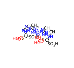 C=Nc1cnn(-c2cc(SOOO)cc(S(=O)(=O)O)c2)c1N=Nc1c(C)nn(-c2nc(O)nc(-n3nc(C)c(N=Nc4c(C#N)cnn4-c4cc(SOOO)cc(S(=O)(=O)O)c4)c3N)n2)c1N